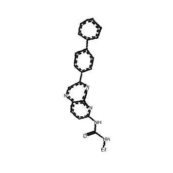 CCNC(=O)Nc1ccc2ncc(-c3ccc(-c4ccccc4)cc3)nc2n1